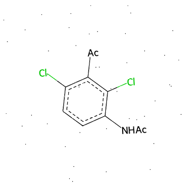 CC(=O)Nc1ccc(Cl)c(C(C)=O)c1Cl